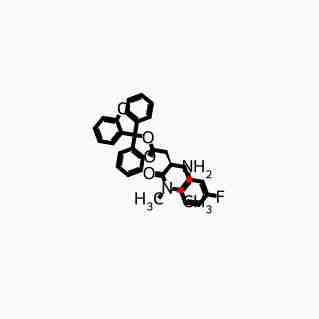 C[C@@H](CN)N(C)C(=O)[C@@H](CC(=O)OC(c1ccccc1)(c1ccccc1)c1ccccc1Cl)Cc1cccc(F)c1